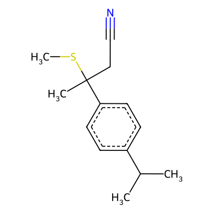 CSC(C)(CC#N)c1ccc(C(C)C)cc1